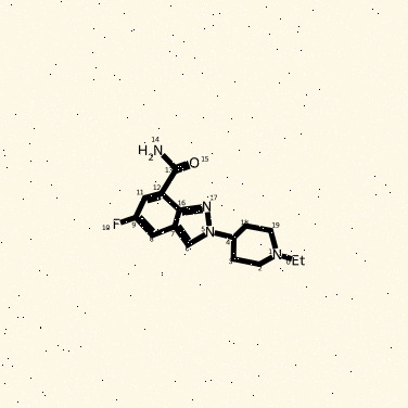 CCN1CCC(n2cc3cc(F)cc(C(N)=O)c3n2)CC1